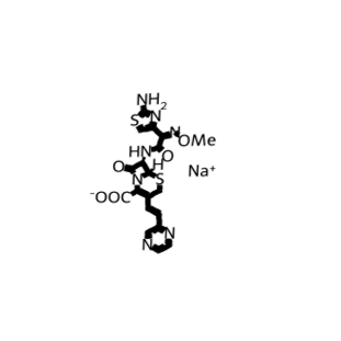 CO/N=C(\C(=O)N[C@@H]1C(=O)N2C(C(=O)[O-])=C(/C=C/c3cnccn3)CS[C@@H]12)c1csc(N)n1.[Na+]